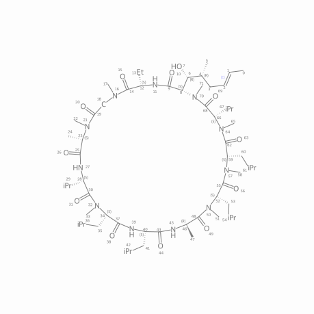 C/C=C/C[C@@H](C)[C@@H](O)[C@H]1C(=O)N[C@@H](CC)C(=O)N(C)CC(=O)N(C)[C@@H](C)C(=O)N[C@@H](C(C)C)C(=O)N(C)[C@@H](CC(C)C)C(=O)N[C@@H](CC(C)C)C(=O)N[C@H](C)C(=O)N(C)[C@@H](CC(C)C)C(=O)N(C)[C@@H](CC(C)C)C(=O)N(C)[C@@H](C(C)C)C(=O)N1C